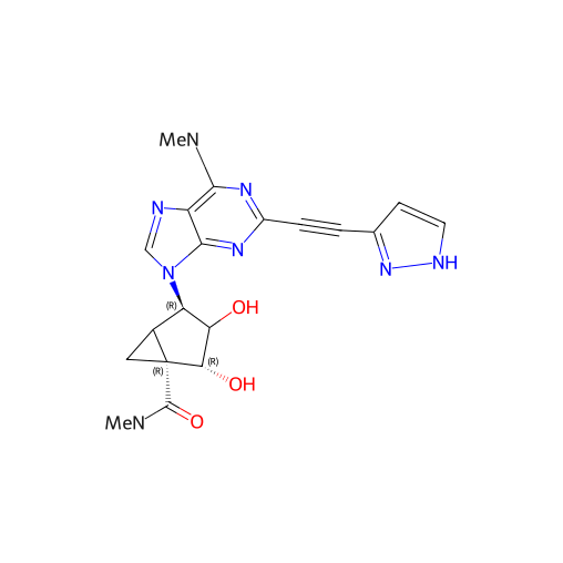 CNC(=O)[C@]12CC1[C@@H](n1cnc3c(NC)nc(C#Cc4cc[nH]n4)nc31)C(O)[C@@H]2O